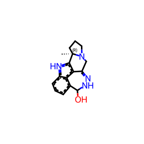 C[C@]12CCCN1CC1=NNC(O)c3cccc4[nH]c2c1c34